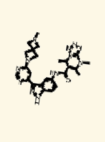 CC1=C(C(=O)Nc2ccc3[nH]nc(-c4cc(N5CC6(CN(C)C6)C5)ncn4)c3c2)C(C)n2nnnc2N1C